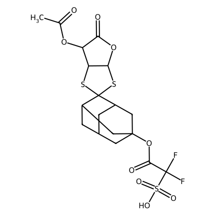 CC(=O)OC1C(=O)OC2SC3(SC21)C1CC2CC3CC(OC(=O)C(F)(F)S(=O)(=O)O)(C2)C1